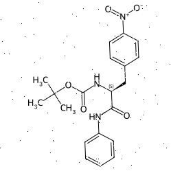 CC(C)(C)OC(=O)N[C@@H](Cc1ccc([N+](=O)[O-])cc1)C(=O)Nc1ccccc1